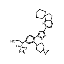 NS(=O)(=O)C(CO)c1ccc(-n2cc(-c3ccc4c(n3)C3(CCCCC3)CO4)nn2)c(N2CCC3(CC2)CC3)c1